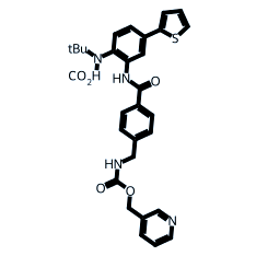 CC(C)(C)N(C(=O)O)c1ccc(-c2cccs2)cc1NC(=O)c1ccc(CNC(=O)OCc2cccnc2)cc1